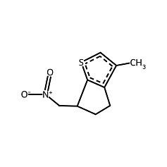 Cc1csc2c1CCC2C[N+](=O)[O-]